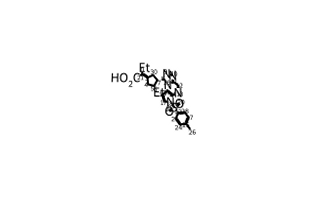 CCC(C(=O)O)=C1C[C@@H](CC)[C@@H](c2nnc3cnc4c(ccn4S(=O)(=O)c4ccc(C)cc4)n23)C1